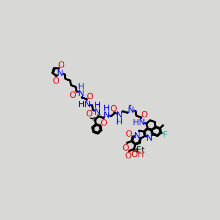 CC[C@@]1(O)C(=O)OCc2c1cc1n(c2=O)Cc2c-1nc1cc(F)c(C)c3c1c2C(NC(=O)CCN(C)CCNC(=O)CNC(=O)[C@@H](NC(=O)CNC(=O)CNC(=O)CCCCCN1C(=O)C=CC1=O)[C@H](C)c1ccccc1)CC3